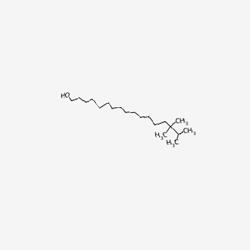 C[C](C)C(C)(C)CCCCCCCCCCCCCCO